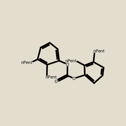 CCCCCc1cccc(OC(=O)Oc2cccc(CCCCC)c2CCCCC)c1CCCCC